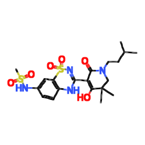 CC(C)CCN1CC(C)(C)C(O)=C(C2=NS(=O)(=O)c3cc(NS(C)(=O)=O)ccc3N2)C1=O